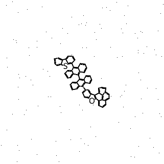 c1ccc2c(c1)sc1c(-c3c4ccccc4c(-c4c5ccccc5c(-c5ccc6oc7c8cccc9ccc%10cccc(c7c6c5)c%10c98)c5ccccc45)c4ccccc34)cccc12